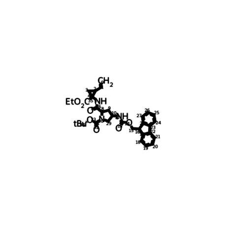 C=CC1CC1(NC(=O)C1CC(NC(=O)OCC2c3ccccc3-c3ccccc32)CN1C(=O)OC(C)(C)C)C(=O)OCC